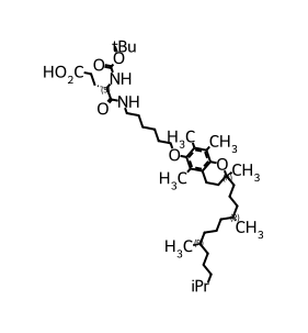 Cc1c(C)c2c(c(C)c1OCCCCCCNC(=O)[C@H](CCC(=O)O)NC(=O)OC(C)(C)C)CC[C@@](C)(CCC[C@H](C)CCC[C@H](C)CCCC(C)C)O2